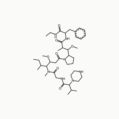 CCNC(=O)C(Cc1ccccc1)NC(=O)C(C)C(OC)C1CCCN1C(=O)CC(OC)C(C(C)CC)N(C)C(=O)CNC(=O)C(C(C)C)N1CCNCC1